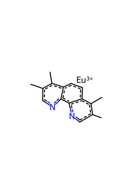 Cc1cnc2c(ccc3c(C)c(C)cnc32)c1C.[Eu+3]